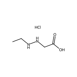 CCNNCC(=O)O.Cl